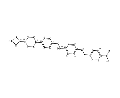 FC(F)c1ccc(COc2ccc(NCc3ccc(N4CCN(C5COC5)CC4)cc3)nn2)cn1